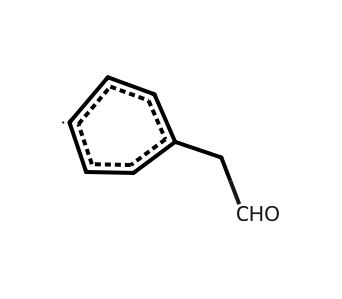 O=CCc1cc[c]cc1